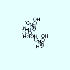 CN1CCc2cccc3c2[C@H]1Cc1ccc(O)c(O)c1-3.Cc1ccc(N(CC2=NCCN2)c2cccc(O)c2)cc1.Cc1ccc(N(CC2=NCCN2)c2cccc(O)c2)cc1